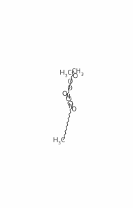 CCCCCCCCCCCCCCCC(=O)N1CCC2(CC1)CCN(C(=O)CCOCCOCCC(=O)C(C)C)CC2